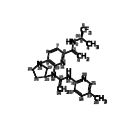 C=C(N[C@H](C)C(F)(F)F)c1ccc2c(n1)N(C(=C)Nc1ccc(C)cn1)C1CCN2C1